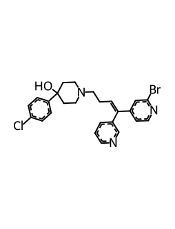 OC1(c2ccc(Cl)cc2)CCN(CCC=C(c2cccnc2)c2ccnc(Br)c2)CC1